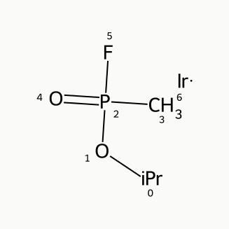 CC(C)OP(C)(=O)F.[Ir]